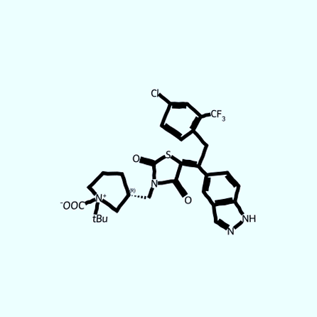 CC(C)(C)[N+]1(C(=O)[O-])CCC[C@H](CN2C(=O)SC(=C(Cc3ccc(Cl)cc3C(F)(F)F)c3ccc4[nH]ncc4c3)C2=O)C1